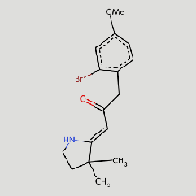 COc1ccc(CC(=O)/C=C2\NCCC2(C)C)c(Br)c1